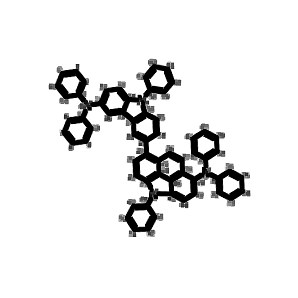 c1ccc(N(c2ccccc2)c2ccc3c(c2)c2cc(-c4ccc5c6c4ccc4c(N(c7ccccc7)c7ccccc7)ccc(c46)n5-c4ccccc4)ccc2n3-c2ccccc2)cc1